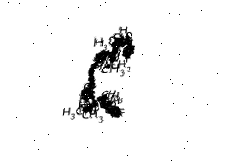 CN[C@@H](C)C(=O)N[C@@H](Cc1cccc(OCC#CC#CCOc2cccc(C[C@H](NC(=O)[C@H](C)NC)C(=O)N3CC(C)(C)c4[nH]c(=O)c(Cc5ccc(F)cc5)cc43)c2)c1)C(=O)N1CC(C)(C)c2[nH]c(=O)c(Cc3ccc(F)cc3)cc21